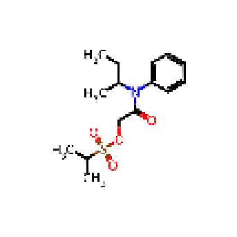 CCC(C)N(C(=O)COS(=O)(=O)C(C)C)c1ccccc1